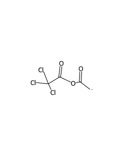 [CH2]C(=O)OC(=O)C(Cl)(Cl)Cl